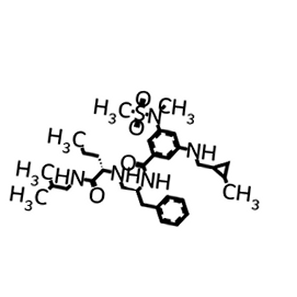 CCC[C@H](NC[C@H](Cc1ccccc1)NC(=O)c1cc(NCC2CC2C)cc(N(C)S(C)(=O)=O)c1)C(=O)NCC(C)C